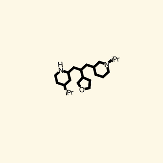 CC(C)C1CCNC(CC(CC2CCCN(C(C)C)C2)C2CCOC2)C1